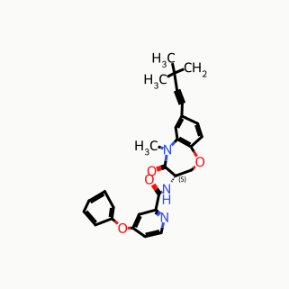 [CH2]C(C)(C)C#Cc1ccc2c(c1)N(C)C(=O)[C@@H](NC(=O)c1cc(Oc3ccccc3)ccn1)CO2